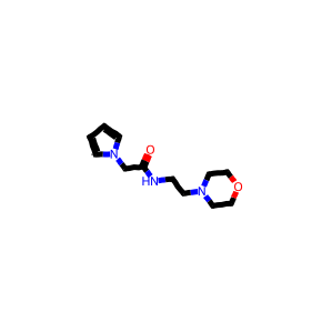 O=C(Cn1[c]ccc1)NCCN1CCOCC1